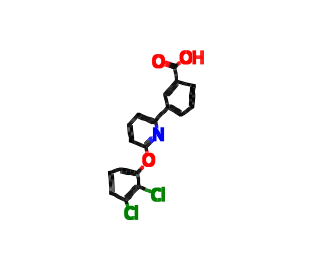 O=C(O)c1cccc(-c2cccc(Oc3cccc(Cl)c3Cl)n2)c1